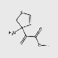 C=C(C(=O)OC)C1(N)C=CSC1